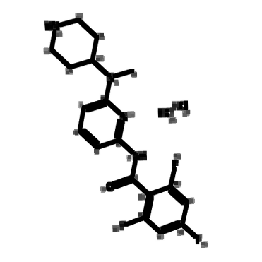 CN(c1cccc(NC(=O)c2c(F)cc(F)cc2F)n1)C1CCNCC1.Cl.Cl